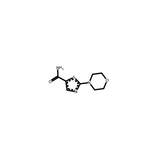 NC(=O)c1cnc(N2CCOCC2)s1